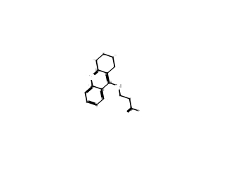 NC(=O)CCNc1c2c(nc3ccccc13)CCCC2